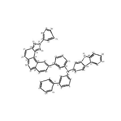 c1ccc(-c2cccc(N(c3cccc(-c4ccc5ccc6ccc7nn(-c8ccccc8)nc7c6c5c4)c3)c3ccc4c(c3)oc3ccccc34)c2)cc1